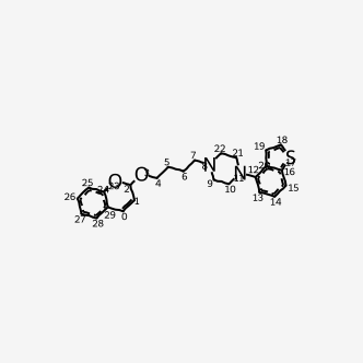 C1=CC(OCCCCN2CCN(c3cccc4sccc34)CC2)Oc2ccccc21